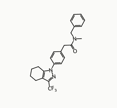 CN(Cc1ccccc1)C(=O)Cc1ccc(-n2nc(C(F)(F)F)c3c2CCCC3)cc1